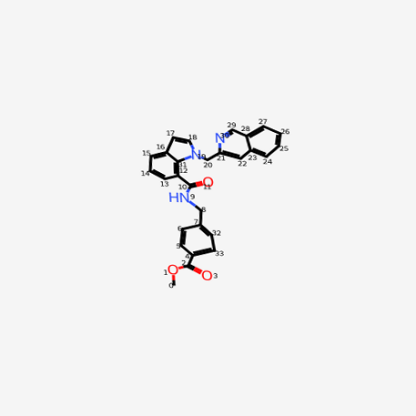 COC(=O)c1ccc(CNC(=O)c2cccc3ccn(Cc4cc5ccccc5cn4)c23)cc1